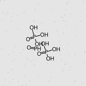 O=P.O=P(O)(O)O.O=P(O)(O)O